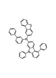 c1ccc(-c2cccc(N(c3ccc4sc5ccccc5c4c3)c3ccc4c5c(-c6ccccc6)cccc5n(-c5ccccc5)c4c3)c2)cc1